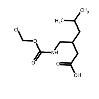 CC(C)CC(CNC(=O)OCCl)CC(=O)O